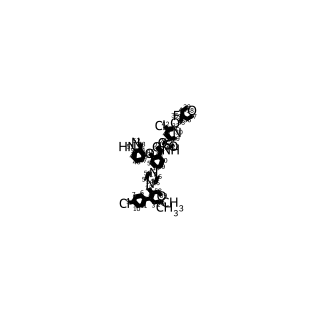 CC1(C)CC(c2ccc(Cl)cc2)=C(CN2CCN(c3ccc(C(=O)NS(=O)(=O)c4cnc(OCC5(F)CCOCC5)c(Cl)c4)c(Oc4cccc5[nH]ncc45)c3)CC2)CO1